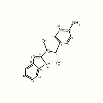 Nc1ccc(C[S+]([O-])c2nc3ccccc3[nH]2)cn1.O